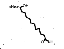 CCCCCC[C@@H](O)CCCCCCCCCCC(N)=O